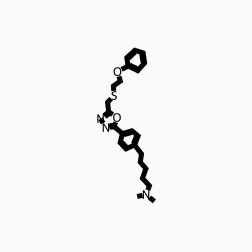 CN(C)CCCCCc1ccc(-c2nnc(CSCCOc3ccccc3)o2)cc1